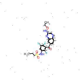 CCCS(=O)(=O)Nc1cc(F)c(F)c(C(=O)c2ccc3ncc(NOCC)nc3c2)c1F